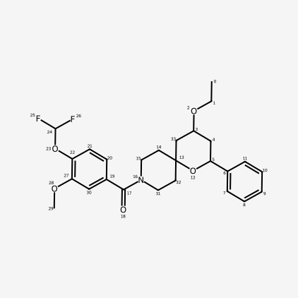 CCOC1CC(c2ccccc2)OC2(CCN(C(=O)c3ccc(OC(F)F)c(OC)c3)CC2)C1